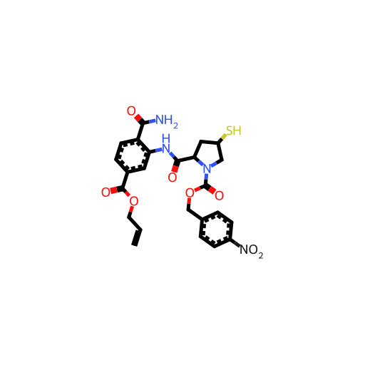 C=CCOC(=O)c1ccc(C(N)=O)c(NC(=O)C2CC(S)CN2C(=O)OCc2ccc([N+](=O)[O-])cc2)c1